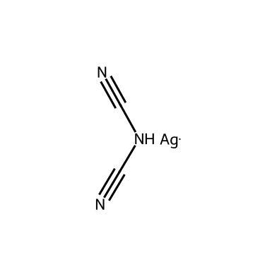 N#CNC#N.[Ag]